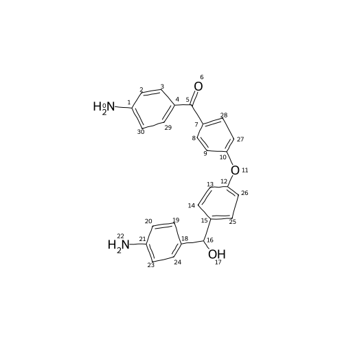 Nc1ccc(C(=O)c2ccc(Oc3ccc(C(O)c4ccc(N)cc4)cc3)cc2)cc1